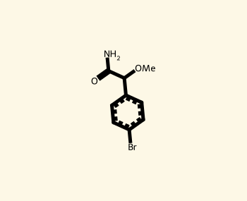 COC(C(N)=O)c1ccc(Br)cc1